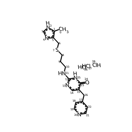 Cc1[nH]cnc1CSCCCNc1ncc(Cc2ccncc2)c(=O)[nH]1.Cl.Cl.Cl